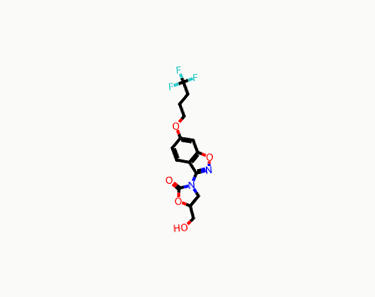 O=C1OC(CO)CN1c1noc2cc(OCCCC(F)(F)F)ccc12